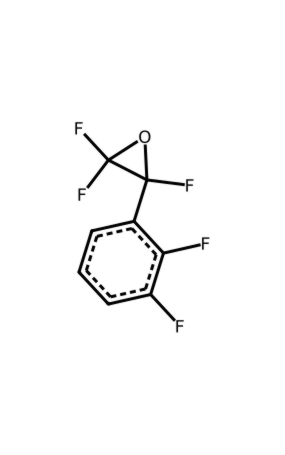 Fc1cccc(C2(F)OC2(F)F)c1F